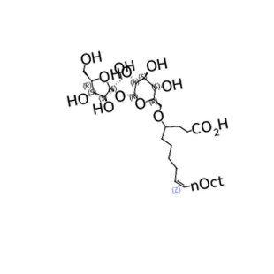 CCCCCCCC/C=C\CCCCC(CCC(=O)O)OC[C@H]1O[C@H](O[C@]2(CO)O[C@H](CO)[C@@H](O)[C@@H]2O)[C@H](O)[C@@H](O)[C@@H]1O